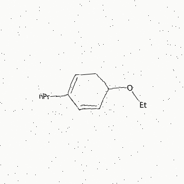 CCCC1=CCC(OCC)C=C1